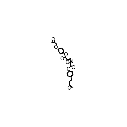 O=C(Oc1ccc(OCC2CO2)cc1)c1cnc(C(=O)Oc2ccc(CCC3CO3)cc2)o1